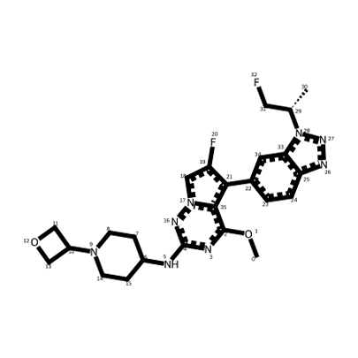 COc1nc(NC2CCN(C3COC3)CC2)nn2cc(F)c(-c3ccc4nnn([C@@H](C)CF)c4c3)c12